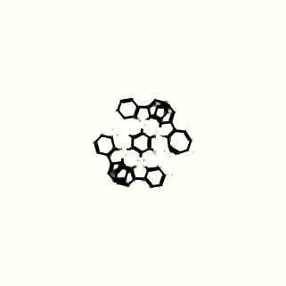 N#Cc1c(-n2c3c(c4ccccc42)C=CCC3)c(-n2c3c(c4ccccc42)C=CCC#C3)c(C#N)c(-n2c3c#cccc3c3ccccc32)c1-n1c2c(c3ccccc31)C=CCC2